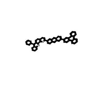 c1ccc(-c2c3ccccc3nc3c2ccc2ccc(-c4ccc5cc6cc(-c7ccc8c9ccccc9c9ccccc9c8c7)ccc6cc5c4)nc23)cc1